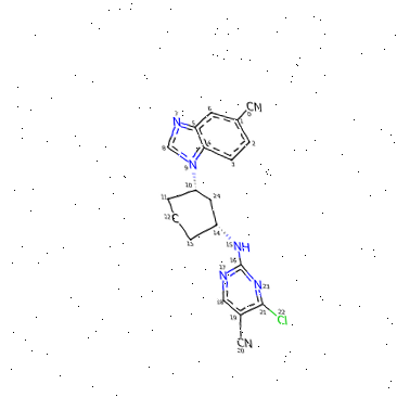 N#Cc1ccc2c(c1)ncn2[C@H]1CCC[C@@H](Nc2ncc(C#N)c(Cl)n2)C1